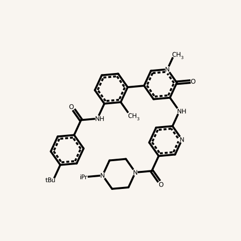 Cc1c(NC(=O)c2ccc(C(C)(C)C)cc2)cccc1-c1cc(Nc2ccc(C(=O)N3CCN(C(C)C)CC3)cn2)c(=O)n(C)c1